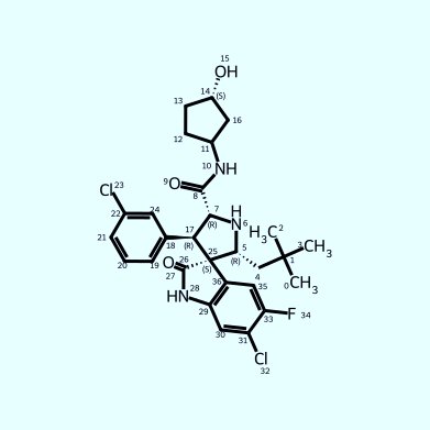 CC(C)(C)C[C@H]1N[C@@H](C(=O)NC2CC[C@H](O)C2)[C@H](c2cccc(Cl)c2)[C@@]12C(=O)Nc1cc(Cl)c(F)cc12